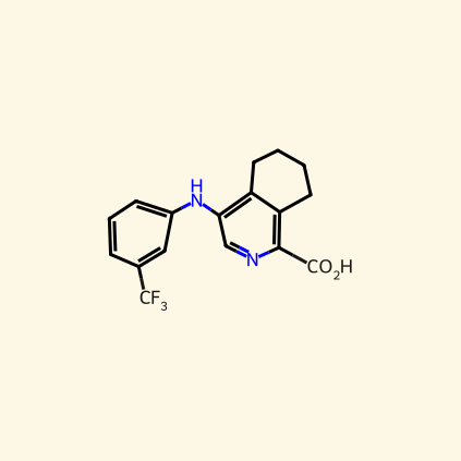 O=C(O)c1ncc(Nc2cccc(C(F)(F)F)c2)c2c1CCCC2